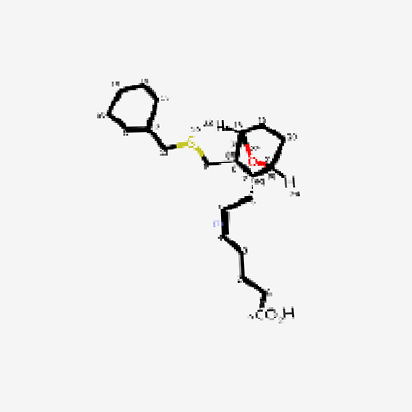 O=C(O)CCC/C=C\C[C@@H]1[C@@H](CSCC2CCCCC2)[C@@H]2CC[C@H]1O2